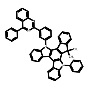 CC1(C)c2ccccc2-c2c1c1c(c3ccccc3n1-c1ccccc1)c1c3ccccc3n(-c3cccc(-c4nc(-c5ccccc5)c5ccccc5n4)c3)c21